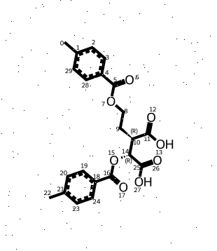 Cc1ccc(C(=O)OCC[C@@H](C(=O)O)[C@@H](OC(=O)c2ccc(C)cc2)C(=O)O)cc1